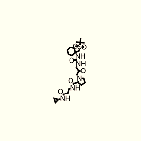 CC(C)(C)S(=O)(=O)CC1(NC(=O)NCC(=O)CN2CCCC2C(=O)NCCC(=O)NC2CC2)CCCCC1